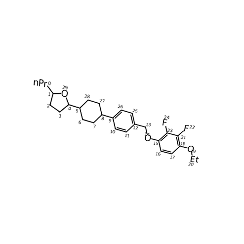 CCCC1CCC(C2CCC(c3ccc(COc4ccc(OCC)c(F)c4F)cc3)CC2)O1